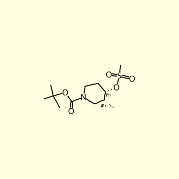 C[C@@H]1CN(C(=O)OC(C)(C)C)CC[C@@H]1OS(C)(=O)=O